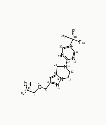 C[C@H](O)COCc1cc2n(n1)CCN(c1ncc(C(F)(F)F)cn1)C2